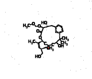 CC[C@H](/C=C(/C)[C@@H]1CC(=O)C[C@H](O)C(C)(C)c2cccc(c2)C[C@@H](O)[C@H](OCOC)C(=O)O1)CO